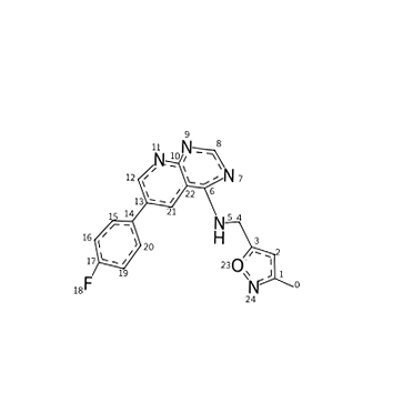 Cc1cc(CNc2ncnc3ncc(-c4ccc(F)cc4)cc23)on1